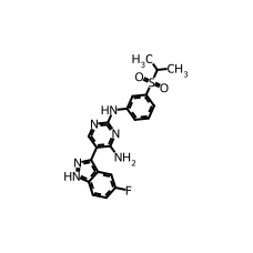 CC(C)S(=O)(=O)c1cccc(Nc2ncc(-c3n[nH]c4ccc(F)cc34)c(N)n2)c1